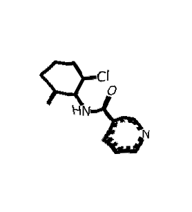 CC1CCCC(Cl)C1NC(=O)c1cccnc1